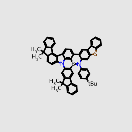 CC(C)(C)c1ccc(N2B3c4cc5c(cc4-n4c6ccc7c(c6c6ccc(c3c64)-c3cc4c(cc32)sc2ccccc24)-c2ccccc2C7(C)C)C(C)(C)c2ccccc2-5)cc1